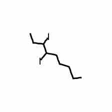 CCCCCC(I)C(I)CC